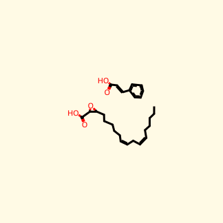 CCCCC/C=C\C/C=C\CCCCCC1OC1C(=O)O.O=C(O)C=Cc1ccccc1